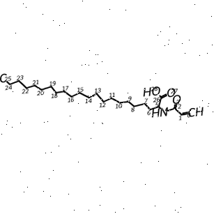 C=CC(=O)NC(CCCCCCCCCCCCCCCCCCCC)C(=O)O